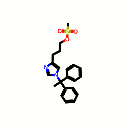 CC(c1ccccc1)(c1ccccc1)n1cnc(CCCOS(C)(=O)=O)c1